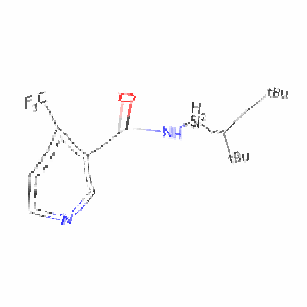 CC(C)(C)C([SiH2]NC(=O)c1cnccc1C(F)(F)F)C(C)(C)C